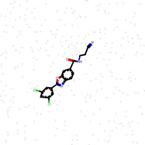 N#CCCNC(=O)c1ccc2nc(-c3cc(Cl)cc(Cl)c3)oc2c1